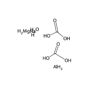 O.O=C(O)O.O=C(O)O.[AlH3].[MgH2].[NaH]